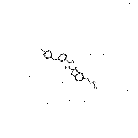 CCOCOc1ccc2nc(NC(=O)c3cccc(Cc4ccc(C)cc4)c3)sc2c1